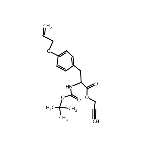 C#CCOC(=O)C(Cc1ccc(OCC=C)cc1)NC(=O)OC(C)(C)C